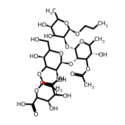 CCCO[C@@H]1OC(C)[C@H](O)C(O)[C@@H]1O[C@@H]1OC(C)[C@H](O)C(OC(C)=O)[C@@H]1O[C@@H]1OC(CO)[C@H](O)C(O[C@@H]2OC(C(=O)O)[C@H](O)C(O)[C@@H]2O)[C@@H]1NC(C)=O